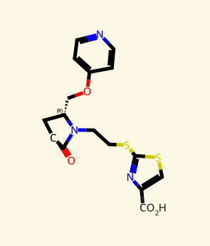 O=C(O)c1csc(SCCN2C(=O)CC[C@@H]2COc2ccncc2)n1